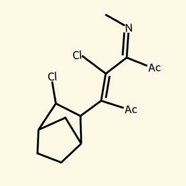 C/N=C(C(C)=O)\C(Cl)=C(/C(C)=O)C1C2CCC(C2)C1Cl